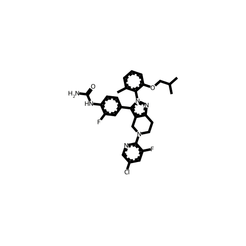 Cc1cccc(OCC(C)C)c1-n1nc2c(c1-c1ccc(NC(N)=O)c(F)c1)CN(c1ncc(Cl)cc1F)CC2